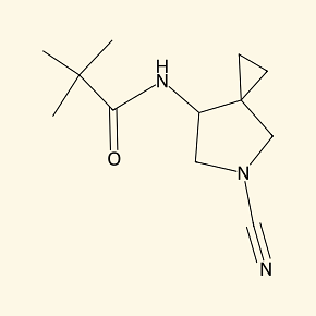 CC(C)(C)C(=O)NC1CN(C#N)CC12CC2